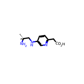 C[C@@H](N)CNc1ccc(CC(=O)O)nc1